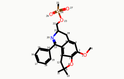 COc1cc2c(c3c1OC(C)(C)C3)C(c1ccccc1)=NC(COS(C)(=O)=O)C2